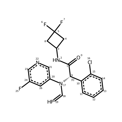 O=C(NC1CC(F)(F)C1)[C@H](c1ccccc1Cl)N(C=P)c1cncc(F)c1